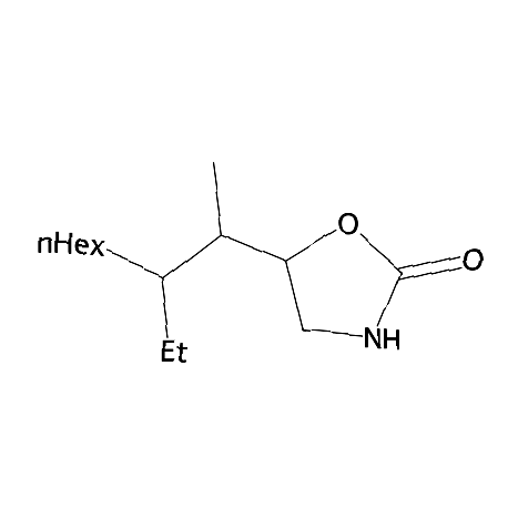 CCCCCCC(CC)C(C)C1CNC(=O)O1